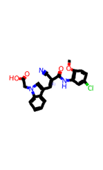 COc1ccc(Cl)cc1NC(=O)/C(C#N)=C/c1cn(CC(=O)O)c2ccccc12